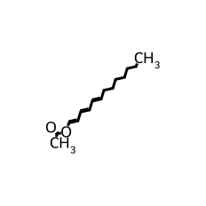 CCCCCCC/C=C/C=C/C=C/OC(C)=O